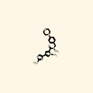 Cc1nc(-c2cc(C(=O)N(C)Cc3ccc(N4CCOCC4)cc3)n(C)c2)cs1